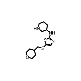 c1nc(N[C@@H]2CCCNC2)sc1SCC1CCOCC1